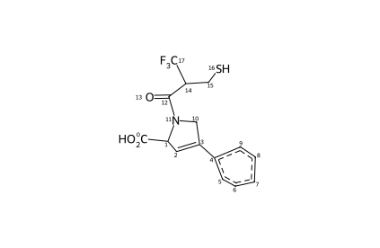 O=C(O)C1C=C(c2ccccc2)CN1C(=O)C(CS)C(F)(F)F